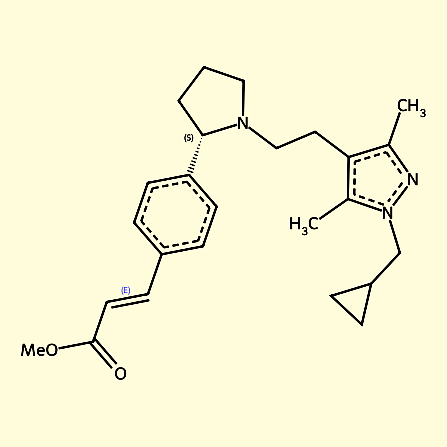 COC(=O)/C=C/c1ccc([C@@H]2CCCN2CCc2c(C)nn(CC3CC3)c2C)cc1